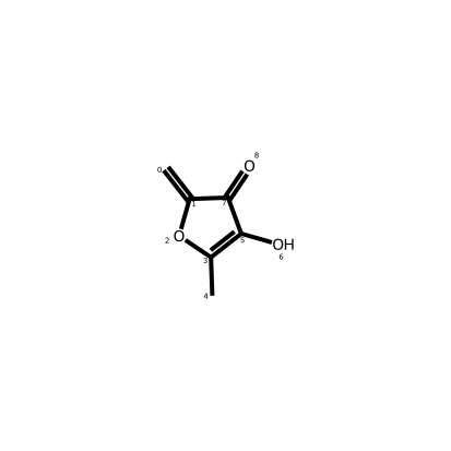 C=C1OC(C)=C(O)C1=O